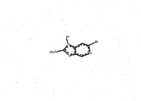 CNc1nc2cnc(Br)cc2n1C(C)C